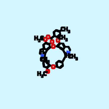 COc1ccc2cc1Oc1ccc(cc1)C[C@H]1c3cc(c(OC)cc3CCN1C)Oc1c(OC(=O)c3ccc(C)cc3)c(OC)cc3c1[C@H](C2)N(C)CC3